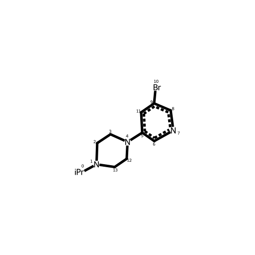 CC(C)N1CCN(c2cncc(Br)c2)CC1